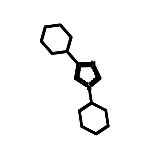 c1nc(C2CCCCC2)cn1C1CCCCC1